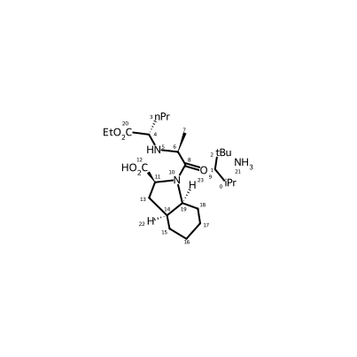 CC(C)CC(C)(C)C.CCC[C@H](N[C@@H](C)C(=O)N1[C@H](C(=O)O)C[C@@H]2CCCC[C@@H]21)C(=O)OCC.N